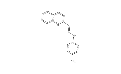 O=[N+]([O-])c1ccc(NN=Cc2ncc3ccccc3n2)nc1